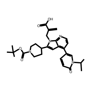 C=C(Cn1c(C2CCN(C(=O)OC(C)(C)C)CC2)cc2c(-c3ccc(=O)n(C(C)C)c3)ccnc21)C(=O)O